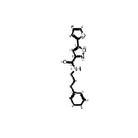 O=C(NCCCC1=CCCC=C1)c1cc(-c2ccco2)on1